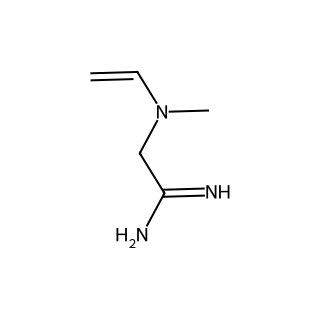 C=CN(C)CC(=N)N